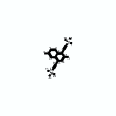 Cc1ccc2c(C#C[Si](C)(C)C)c(C)cc(C#C[Si](C)(C)C)c2c1